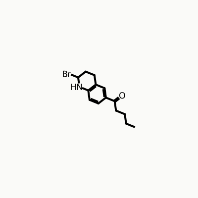 CCCCC(=O)c1ccc2c(c1)CCC(Br)N2